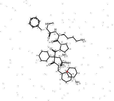 CN[C@@H](Cc1ccccc1)C(=O)N[C@@H](CCCCN)C(=O)N1CCC[C@H]1C(=O)C(C(=O)[C@H](N)CC1CCCCC1)(C1CCCCC1)[C@H](N)C(=O)N[C@H]1CC[C@@H](N)CC1